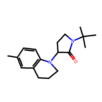 Cc1ccc2c(c1)CCCN2C1CCN(C(C)(C)C)C1=O